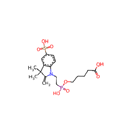 C=C1N(CCP(=O)(O)OCCCCC(=O)O)c2ccc(S(=O)(=O)O)cc2C1(C)C